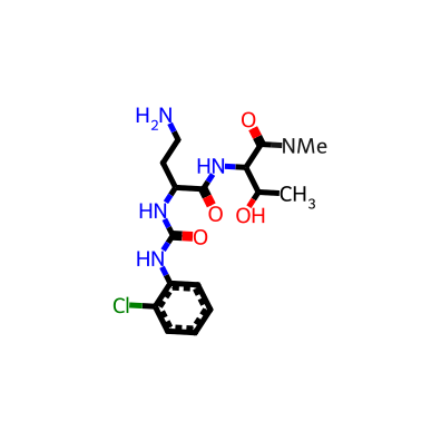 CNC(=O)C(NC(=O)C(CCN)NC(=O)Nc1ccccc1Cl)C(C)O